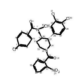 CN(C(=O)c1ccc(Cl)cc1)[C@@H]1CCN(C(=O)c2ccccc2[N+](=O)[O-])C[C@H]1c1ccc(Cl)c(Cl)c1